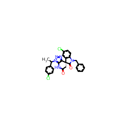 CC(c1ccc(Cl)cc1)n1nnc2c1NC(=O)C[C@]21C(=O)N(Cc2ccccc2)c2ccc(Cl)cc21